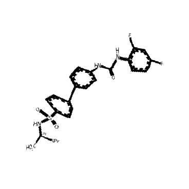 CC(C)[C@H](NS(=O)(=O)c1ccc(-c2ccc(NC(=O)Nc3ccc(F)cc3F)cc2)cc1)C(=O)O